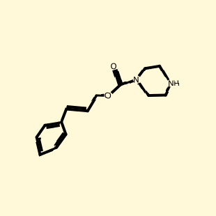 O=C(OC/C=C/c1ccccc1)N1CCNCC1